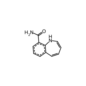 NC(=O)c1cccc2c1NC=CC=C2